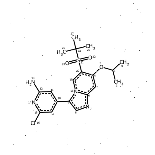 CC(C)Oc1cc2ncc(-c3cc(N)nc(Cl)c3)n2cc1S(=O)(=O)C(C)(C)C